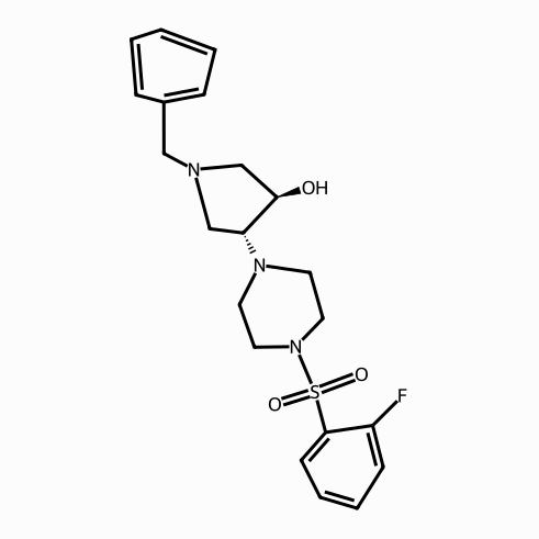 O=S(=O)(c1ccccc1F)N1CCN([C@@H]2CN(Cc3ccccc3)C[C@H]2O)CC1